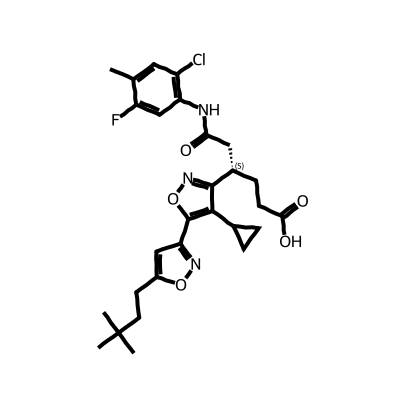 Cc1cc(Cl)c(NC(=O)C[C@H](CCC(=O)O)c2noc(-c3cc(CCC(C)(C)C)on3)c2C2CC2)cc1F